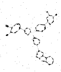 N#Cc1ccc(-c2ccc(N(c3ccc(-c4ccc(C#N)c(C#N)c4)cc3)c3ccc(-c4ccc5oc6ccccc6c5c4)cc3)cc2)cc1C#N